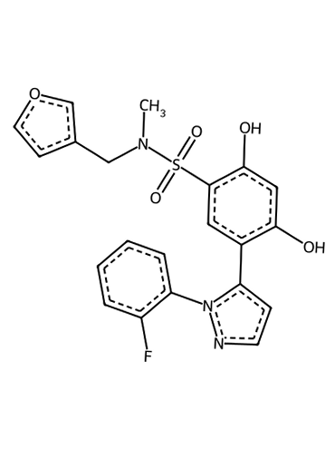 CN(Cc1ccoc1)S(=O)(=O)c1cc(-c2ccnn2-c2ccccc2F)c(O)cc1O